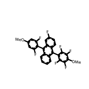 COc1cc(F)c(-c2c3ccccc3c(-c3c(F)c(F)c(OC)c(F)c3F)c3ccc(F)cc23)c(F)c1